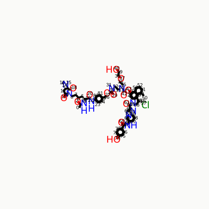 CC(=O)N[C@@H](CCCCN1C(=O)CC(N(C)C)C1=O)C(=O)Nc1ccc(COC(=O)N(C)CCN(CCOCCO)C(=O)Oc2cc3c(c4c(C)cccc24)[C@H](CCl)CN3C(=O)c2cn3cc(NC(=O)c4ccc(O)cc4)ccc3n2)cc1